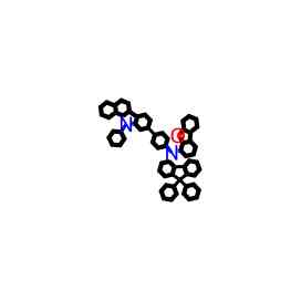 c1ccc(-n2c3cc(-c4ccc(N(c5cccc6c5-c5ccccc5C6(c5ccccc5)c5ccccc5)c5cccc6c5oc5ccccc56)cc4)ccc3c3ccc4ccccc4c32)cc1